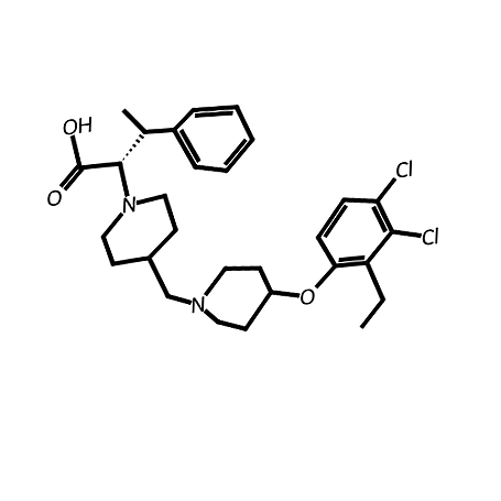 CCc1c(OC2CCN(CC3CCN([C@H](C(=O)O)C(C)c4ccccc4)CC3)CC2)ccc(Cl)c1Cl